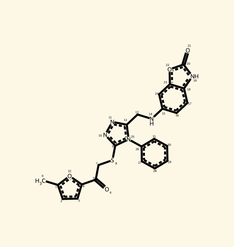 Cc1ccc(C(=O)CSc2nnc(CNc3ccc4[nH]c(=O)oc4c3)n2-c2ccccc2)o1